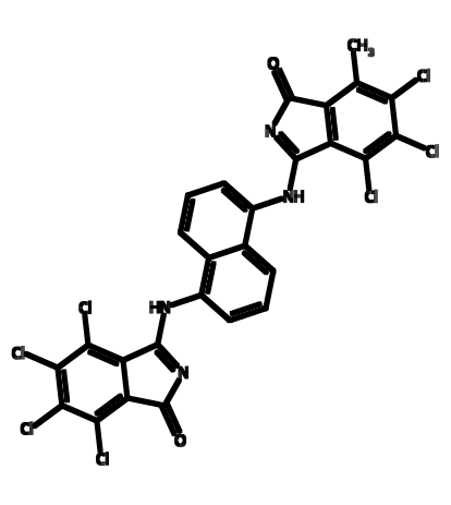 Cc1c(Cl)c(Cl)c(Cl)c2c1C(=O)N=C2Nc1cccc2c(NC3=NC(=O)c4c(Cl)c(Cl)c(Cl)c(Cl)c43)cccc12